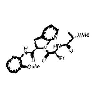 CN[C@@H](C)C(=O)N[C@H](C(=O)N1c2ncccc2C[C@@H]1C(=O)Nc1ccccc1OC)C(C)C